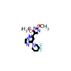 COc1ncc(-c2cc(N3CCCC(F)(F)C3)c3nccn3n2)c(OC)n1